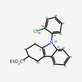 CCOC(=O)C1CCc2c(c3ccccc3n2-c2ccccc2Cl)C1